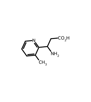 Cc1cccnc1C(N)CC(=O)O